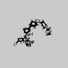 CC(C)(C)OC(=O)N1CCC(Oc2ccc(-c3cccc(NCc4nc5nncn5c5cc(Cl)ccc45)c3)cc2)CC1